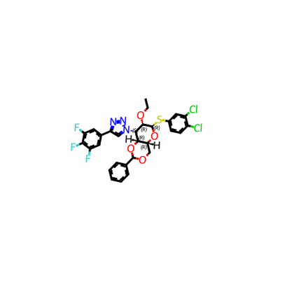 CCO[C@@H]1[C@@H](n2cc(-c3cc(F)c(F)c(F)c3)nn2)[C@H]2OC(c3ccccc3)OC[C@H]2O[C@@H]1Sc1ccc(Cl)c(Cl)c1